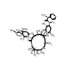 CCCNC[C@]1(O)[C@H](C)O[C@@H](O[C@H]2[C@H](C)[C@@H](O[C@@H]3O[C@H](C)C[C@H](N(C)C(=O)N(C)c4ccnnc4)[C@H]3O)[C@](C)(O)C[C@@H](C)CN[C@H](C)[C@@H](O)[C@](C)(O)[C@@H](CC)OC(=O)[C@@H]2C)C[C@@]1(C)OC